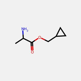 CC(N)C(=O)OCC1CC1